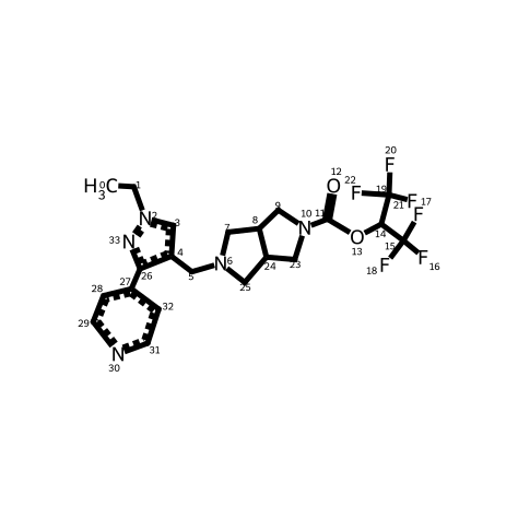 CCn1cc(CN2CC3CN(C(=O)OC(C(F)(F)F)C(F)(F)F)CC3C2)c(-c2ccncc2)n1